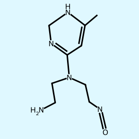 CC1=CC(N(CCN)CCN=O)=NCN1